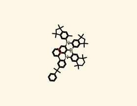 Cc1cc2c3c(c1)N(c1ccc(C(C)(C)c4ccccc4)cc1-c1ccccc1)c1cc4c(cc1B3c1cc3c(cc1N2c1cc2c(cc1C)C(C)(C)CC2(C)C)C(C)(C)CC3(C)C)C(C)(C)CCC4(C)C